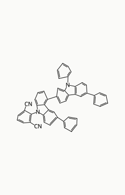 N#Cc1cccc(C#N)c1-n1c2ccc(-c3ccccc3)cc2c2c(-c3ccc4c5cc(-c6ccccc6)ccc5n(-c5ccccc5)c4c3)cccc21